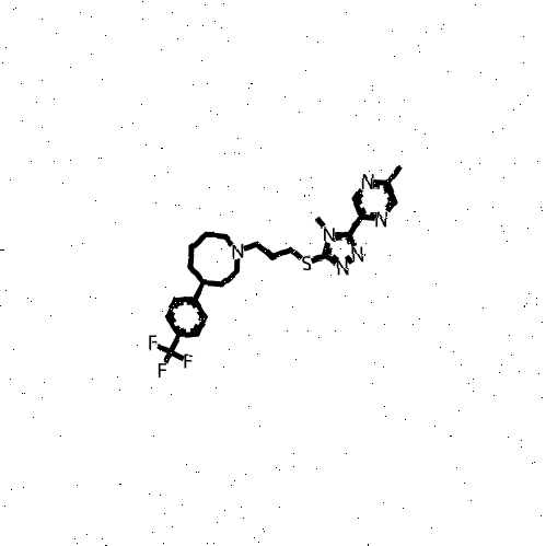 Cc1cnc(-c2nnc(SCCCN3CCCCC(c4ccc(C(F)(F)F)cc4)CC3)n2C)cn1